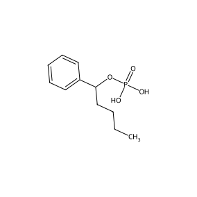 CCCCC(OP(=O)(O)O)c1ccccc1